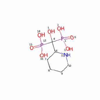 O=P(O)(O)C(O)(C1CCCCN1)P(=O)(O)O